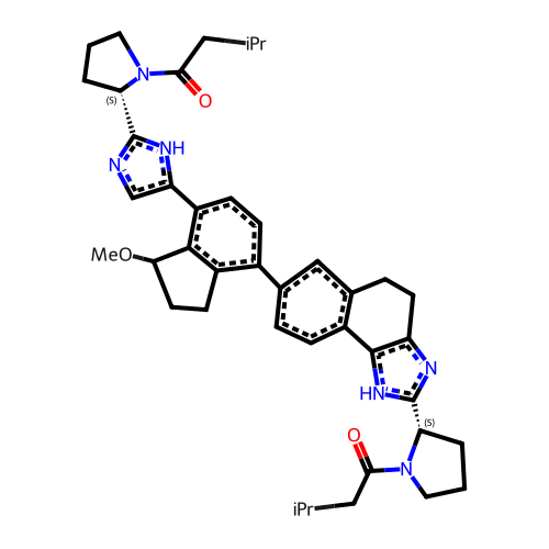 COC1CCc2c(-c3ccc4c(c3)CCc3nc([C@@H]5CCCN5C(=O)CC(C)C)[nH]c3-4)ccc(-c3cnc([C@@H]4CCCN4C(=O)CC(C)C)[nH]3)c21